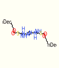 CCCCCCCCCCCCCCCCOC(=O)CCSCCCC(=N)NCCCN1CCN(CCCNC(=N)CCCSCCC(=O)OCCCCCCCCCCCCCCCC)CC1